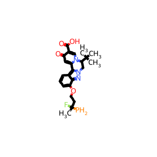 CC(F)(P)CCOc1cccc2c3n(nc12)CC(C(C)(C)C)n1cc(C(=O)O)c(=O)cc1-3